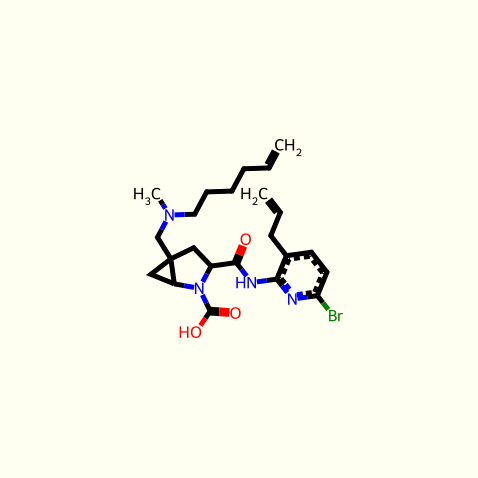 C=CCCCCN(C)CC12CC(C(=O)Nc3nc(Br)ccc3CC=C)N(C(=O)O)C1C2